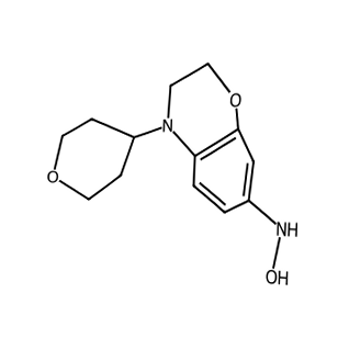 ONc1ccc2c(c1)OCCN2C1CCOCC1